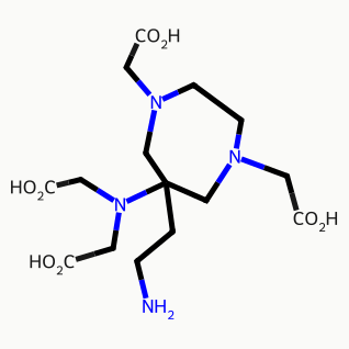 NCCC1(N(CC(=O)O)CC(=O)O)CN(CC(=O)O)CCN(CC(=O)O)C1